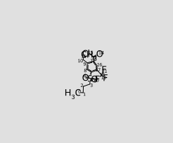 CCCCS(=O)(=O)c1cc(CC)c(C(=O)Cl)cc1C(F)(F)F